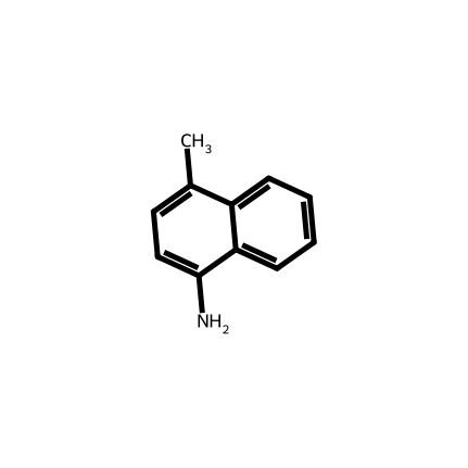 Cc1ccc(N)c2ccccc12